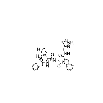 CC[C@H](C)[C@H](NC(=O)Cc1ccccc1)C(=O)NCC(=O)N1c2ncccc2CC1C(=O)NCc1nn[nH]n1